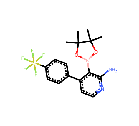 CC1(C)OB(c2c(-c3ccc(S(F)(F)(F)(F)F)cc3)ccnc2N)OC1(C)C